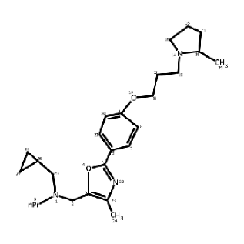 CCCN(Cc1oc(-c2ccc(OCCCN3CCCC3C)cc2)nc1C)CC1CC1